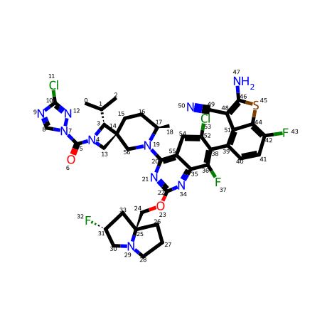 CC(C)[C@H]1N(C(=O)n2cnc(Cl)n2)C[C@]12CC[C@@H](C)N(c1nc(OC[C@@]34CCCN3C[C@H](F)C4)nc3c(F)c(-c4ccc(F)c5sc(N)c(C#N)c45)c(Cl)cc13)C2